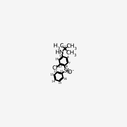 CC(C)(C)Nc1ccc([S+]([O-])c2ccccc2)c(Cl)c1